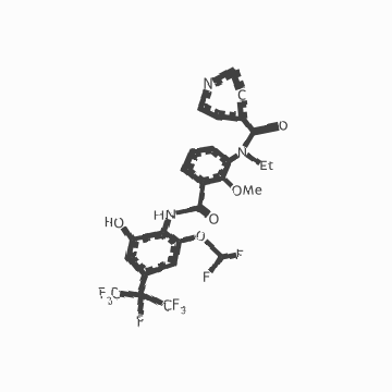 CCN(C(=O)c1ccncc1)c1cccc(C(=O)Nc2c(O)cc(C(F)(C(F)(F)F)C(F)(F)F)cc2OC(F)F)c1OC